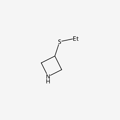 CCSC1CNC1